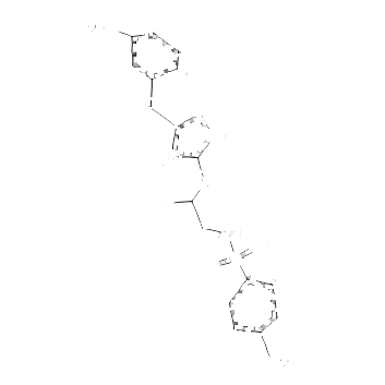 COc1ccc(S(=O)(=O)NCC(C)Nc2nc(Cc3cccc(OC)c3)ns2)cc1